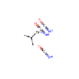 CC(C)[SiH3].N=C=O.N=C=O.N=C=O